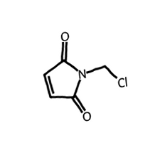 O=C1C=CC(=O)N1CCl